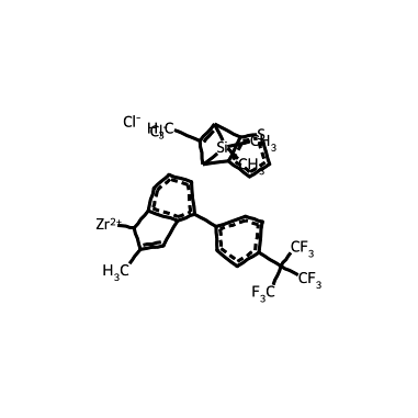 CC1=C2c3sccc3C1[Si]2(C)C.CC1=Cc2c(-c3ccc(C(C(F)(F)F)(C(F)(F)F)C(F)(F)F)cc3)cccc2[CH]1[Zr+2].[Cl-].[Cl-]